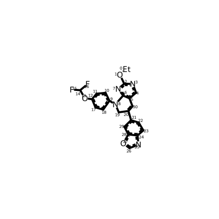 CCOc1ncc2c(n1)N(c1ccc(OC(F)F)cc1)CC(c1ccc3ncoc3c1)=C2